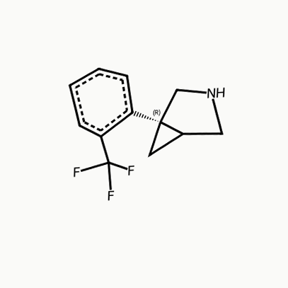 FC(F)(F)c1ccccc1[C@]12CNCC1C2